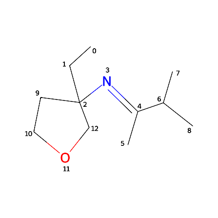 CCC1(/N=C(\C)C(C)C)CCOC1